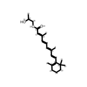 CC1=C(/C=C/C(C)=C/C=C/C(C)=C/C(=O)OCC(C)O)C(C)(C)CCC1